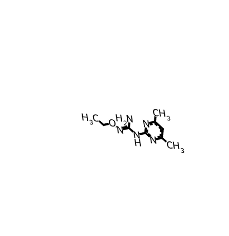 CCO/N=C(\N)Nc1nc(C)cc(C)n1